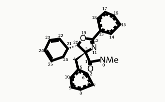 CNC(=O)[C@@]1(Cc2ccccc2)N=C(c2ccccc2)O[C@H]1C1C=CC=CC1